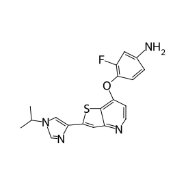 CC(C)n1cnc(-c2cc3nccc(Oc4ccc(N)cc4F)c3s2)c1